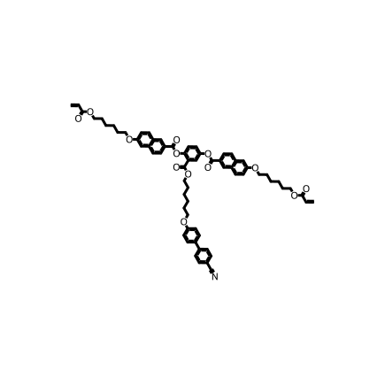 C=CC(=O)OCCCCCCOc1ccc2cc(C(=O)Oc3ccc(OC(=O)c4ccc5cc(OCCCCCCOC(=O)C=C)ccc5c4)c(C(=O)OCCCCCCOc4ccc(-c5ccc(C#N)cc5)cc4)c3)ccc2c1